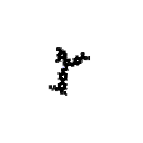 COc1cc(-c2ccc(/C=C/c3nc(-c4ccc(Cl)cc4Cl)cn3Cc3ccc(C(=O)O)cc3)cc2)ccc1N